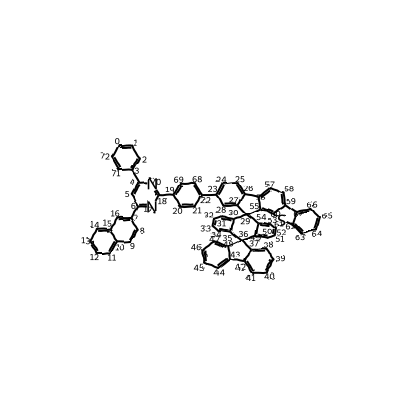 c1ccc(-c2cc(-c3ccc4ccccc4c3)nc(-c3ccc(-c4ccc5c(c4)C4(c6ccccc6C6(c7ccccc7-c7ccccc76)c6ccccc64)c4c-5ccc5c4sc4ccccc45)cc3)n2)cc1